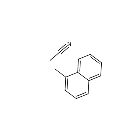 CC#N.Cc1cccc2ccccc12